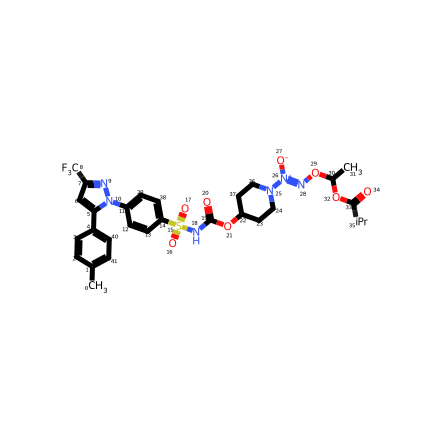 Cc1ccc(-c2cc(C(F)(F)F)nn2-c2ccc(S(=O)(=O)NC(=O)OC3CCN(/[N+]([O-])=N/OC(C)OC(=O)C(C)C)CC3)cc2)cc1